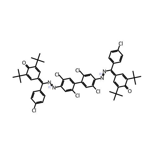 CC(C)(C)C1=CC(=C(/N=N/c2cc(Cl)c(-c3cc(Cl)c(/N=N/C(=C4C=C(C(C)(C)C)C(=O)C(C(C)(C)C)=C4)c4ccc(Cl)cc4)cc3Cl)cc2Cl)c2ccc(Cl)cc2)C=C(C(C)(C)C)C1=O